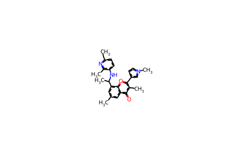 Cc1cc(C(C)Nc2ccc(C)nc2C)c2oc(-c3ccn(C)c3)c(C)c(=O)c2c1